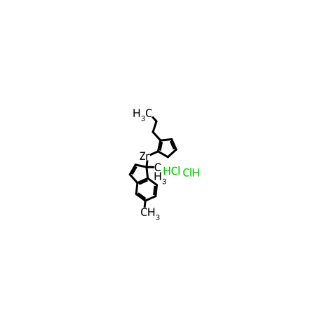 CCCC1=[C]([Zr][C]2(C)C=Cc3cc(C)ccc32)CC=C1.Cl.Cl